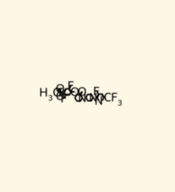 CS(=O)(=O)c1cc(F)c(O[C@H]2CCCN(C3CCN(c4ncc(C(F)(F)F)cc4F)CC3)C2=O)cc1F